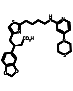 O=C(O)C[C@H](Cc1csc(CCCCNc2cc(N3CCSCC3)ccn2)n1)c1ccc2c(c1)OCO2